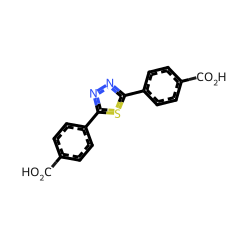 O=C(O)c1ccc(-c2nnc(-c3ccc(C(=O)O)cc3)s2)cc1